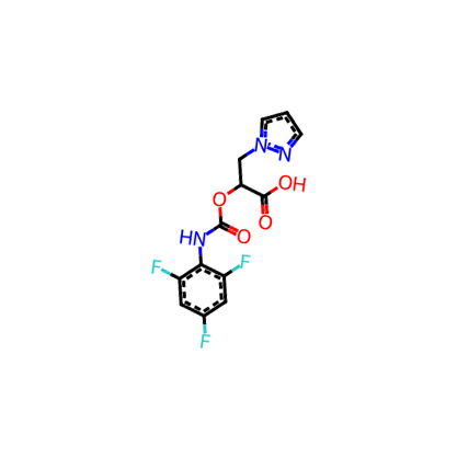 O=C(Nc1c(F)cc(F)cc1F)OC(Cn1cccn1)C(=O)O